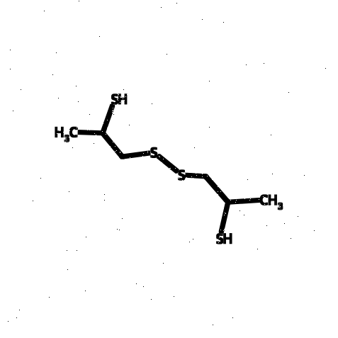 CC(S)CSSCC(C)S